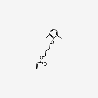 C=CC(=O)OCCCCOc1c(C)cccc1C